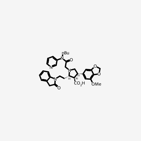 CCCCN(C(=O)CN1C[C@H](c2cc(OC)c3c(c2)OCO3)[C@@H](C(=O)O)[C@@H]1CCN1C(=O)Cc2ccccc21)c1cccnc1